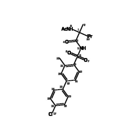 CC(=O)NC(C)(C(=O)NS(=O)(=O)c1ccc(-c2ccc(Cl)cc2)cc1C)C(C)C